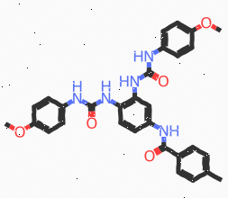 COc1ccc(NC(=O)Nc2ccc(NC(=O)c3ccc(C)cc3)cc2NC(=O)Nc2ccc(OC)cc2)cc1